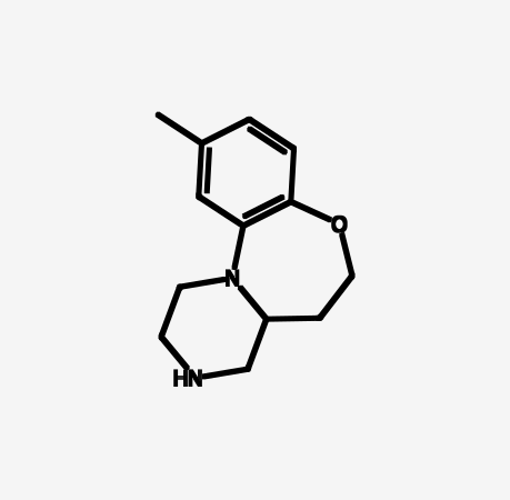 Cc1ccc2c(c1)N1CCNCC1CCO2